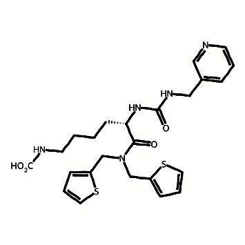 O=C(O)NCCCC[C@H](NC(=O)NCc1cccnc1)C(=O)N(Cc1cccs1)Cc1cccs1